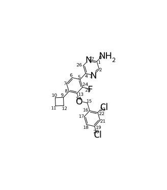 Nc1cnc(-c2ccc(C3CCC3)c(OCc3ccc(Cl)cc3Cl)c2F)cn1